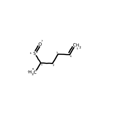 [CH2]C(CCC=C)[S+]=O